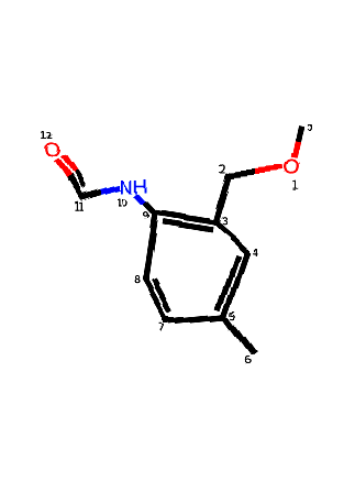 COCc1cc(C)ccc1NC=O